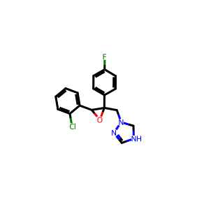 Fc1ccc(C2(CN3CNC=N3)OC2c2ccccc2Cl)cc1